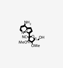 CO[C@H]1[C@@H](OC)[C@](C#N)(c2ccc3c(N)ccnn23)O[C@@H]1CO